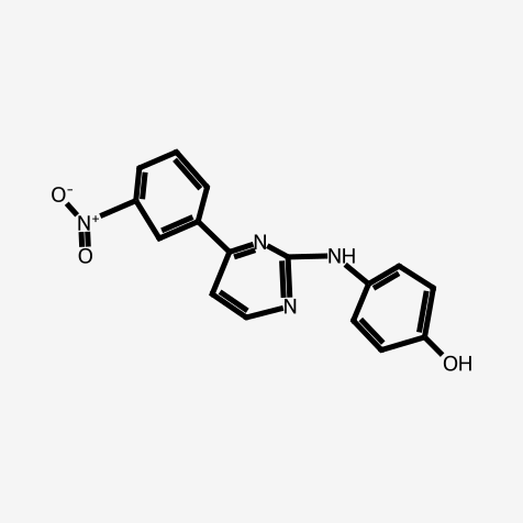 O=[N+]([O-])c1cccc(-c2ccnc(Nc3ccc(O)cc3)n2)c1